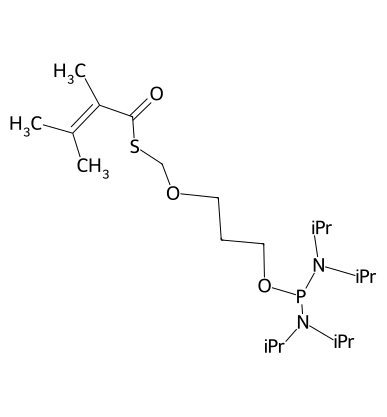 CC(C)=C(C)C(=O)SCOCCCOP(N(C(C)C)C(C)C)N(C(C)C)C(C)C